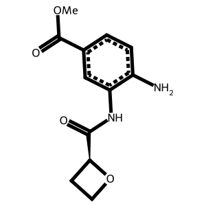 COC(=O)c1ccc(N)c(NC(=O)[C@@H]2CCO2)c1